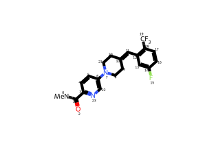 CNC(=O)c1ccc(N2CCC(=Cc3cc(F)ccc3C(F)(F)F)CC2)cn1